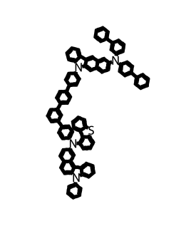 c1ccc(-c2ccc(N(c3cccc(-c4ccccc4)c3)c3ccc4cc5c(cc4c3)c3ccccc3n5-c3ccc(-c4ccc(-c5cccc(-c6ccc(N(c7ccc8ccc9c(c8c7)c7ccccc7n9-c7ccccc7)c7cccc8sc9ccccc9c78)cc6)c5)cc4)cc3)cc2)cc1